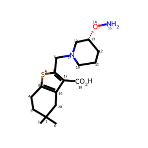 CC1(C)CCc2sc(CN3CCC[C@@H](ON)C3)c(C(=O)O)c2C1